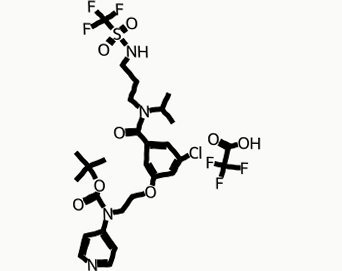 CC(C)N(CCCNS(=O)(=O)C(F)(F)F)C(=O)c1cc(Cl)cc(OCCN(C(=O)OC(C)(C)C)c2ccncc2)c1.O=C(O)C(F)(F)F